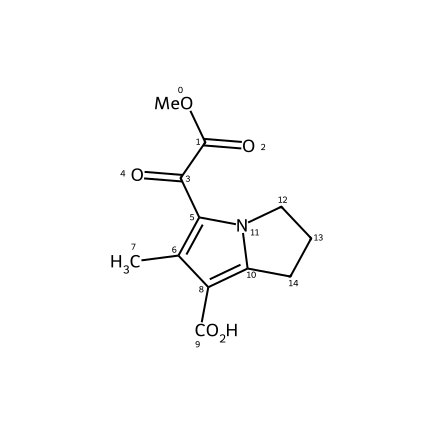 COC(=O)C(=O)c1c(C)c(C(=O)O)c2n1CCC2